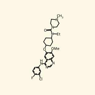 CCN(C(=O)N1CCN(C)CC1)C1CCC(Oc2cc3c(Nc4ccc(F)c(Cl)c4)ncnc3cc2OC)CC1